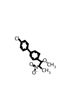 COC(c1ccc(-c2ccc(Cl)cc2)cc1)C(C)[N+](=O)[O-]